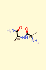 C[C@H](N)C(=O)N[C@@H](C)C(N)=O